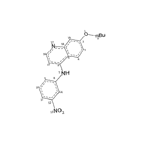 CCCCOc1ccc2c(Nc3cccc([N+](=O)[O-])c3)ccnc2c1